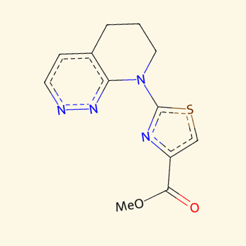 COC(=O)c1csc(N2CCCc3ccnnc32)n1